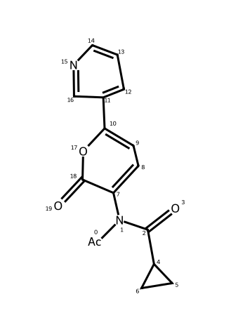 CC(=O)N(C(=O)C1CC1)c1ccc(-c2cccnc2)oc1=O